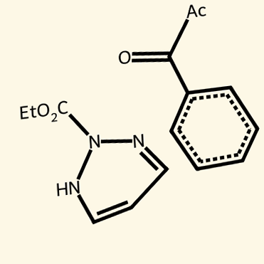 CC(=O)C(=O)c1ccccc1.CCOC(=O)N1N=CC=CN1